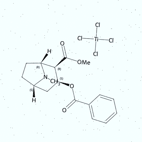 COC(=O)[C@H]1[C@@H](OC(=O)c2ccccc2)C[C@@H]2CC[C@H]1N2C.[Cl][Ti]([Cl])([Cl])[Cl]